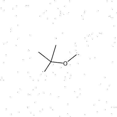 [CH2]OC([CH2])(C)C